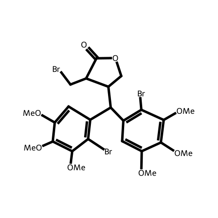 COc1cc(C(c2cc(OC)c(OC)c(OC)c2Br)C2COC(=O)C2CBr)c(Br)c(OC)c1OC